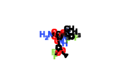 CC(OC(N)=O)c1oc(-c2ccc(OC(F)F)c(OCC3CC3)c2)nc1C(=O)NC(C(=O)N(C)C)c1ccc(F)cc1F